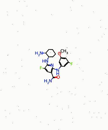 COc1cc(F)cc(Nc2nc(N[C@@H]3CCCC[C@@H]3N)c(F)cc2C(N)=O)c1